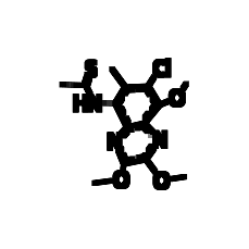 COc1nc2c(NC(C)=S)c(C)c(Cl)c(OC)c2nc1OC